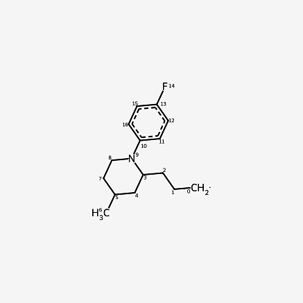 [CH2]CCC1CC(C)CCN1c1ccc(F)cc1